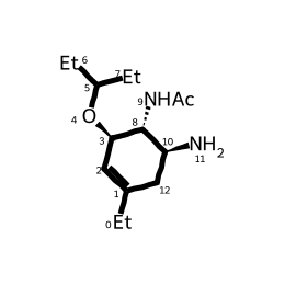 CCC1=C[C@@H](OC(CC)CC)[C@H](NC(C)=O)[C@@H](N)C1